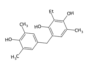 CCc1c(O)c(C)cc(Cc2cc(C)c(O)c(C)c2)c1O